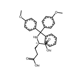 COc1ccc(C(N[C@H](CCC(=O)O)C(=O)O)(c2ccccc2)c2ccc(OC)cc2)cc1